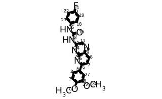 COc1ccc(-c2ccc3ncc(NC(=O)Nc4ccc(F)cc4)nc3n2)cc1OC